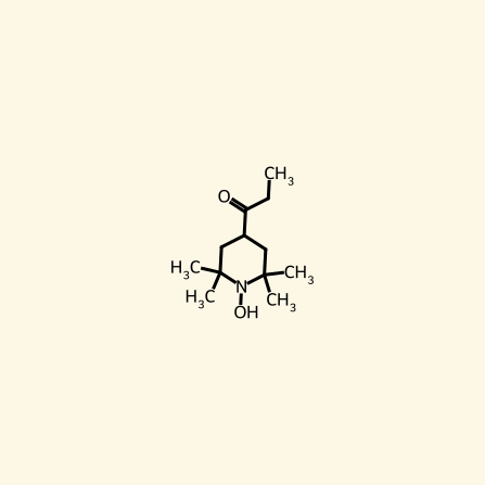 CCC(=O)C1CC(C)(C)N(O)C(C)(C)C1